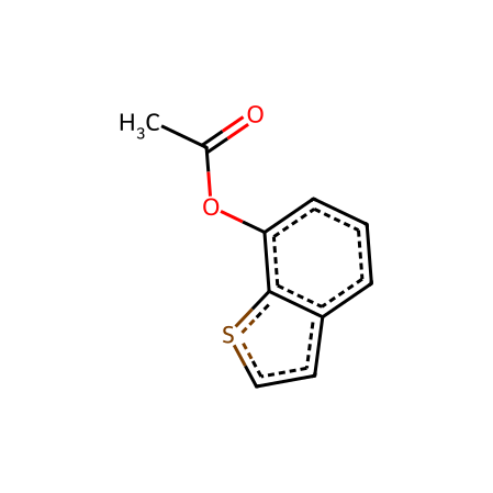 CC(=O)Oc1cccc2ccsc12